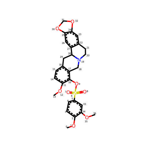 COc1ccc(S(=O)(=O)Oc2c(OC)ccc3c2CN2CCc4cc5c(cc4C2C3)OCO5)cc1OC